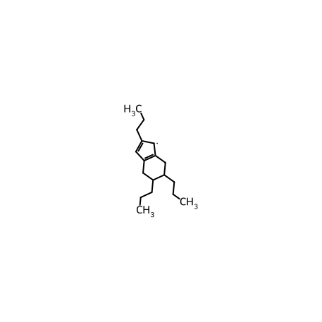 CCCC1=CC2=C([CH]1)CC(CCC)C(CCC)C2